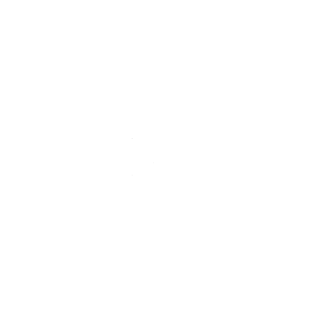 C=CCC(C)(C=O)OC(=O)C=C